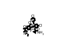 CCn1cc(C(C)(O)c2cc(F)c3c(c2)C(=O)N(Cc2ccc(Cl)cn2)[C@@]3(OCC2(C(N)=O)CC2)c2ccc(Cl)cc2)cn1